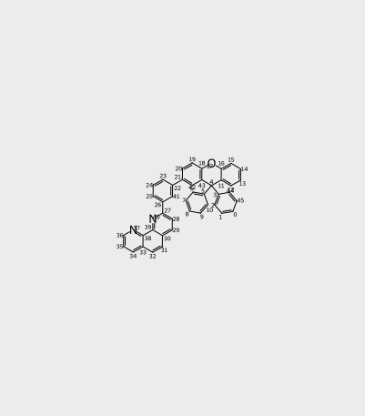 c1ccc(C2(c3ccccc3)c3ccccc3Oc3ccc(-c4cccc(-c5ccc6ccc7cccnc7c6n5)c4)cc32)cc1